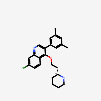 Cc1cc(C)cc(-c2cnc3cc(Cl)ccc3c2OCC[C@H]2CCCCN2)c1